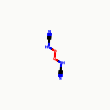 N#CNOONC#N